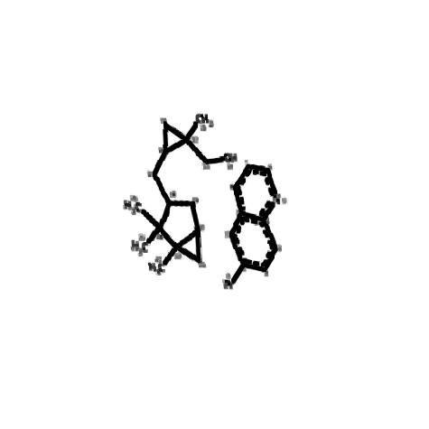 CC(C)c1ccc2ncccc2c1.CC1(CO)CC1CC1CC2CC2(C)C1(C)C